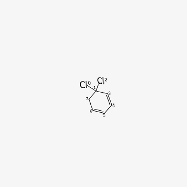 ClC1(Cl)C=CC=CC1